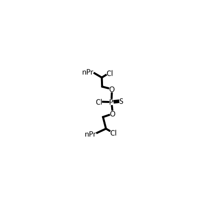 CCCC(Cl)COP(=S)(Cl)OCC(Cl)CCC